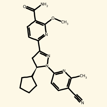 COc1nc(C2=NN(c3ccc(C#N)c(C)n3)[C@@H](C3CCCC3)C2)ccc1C(N)=O